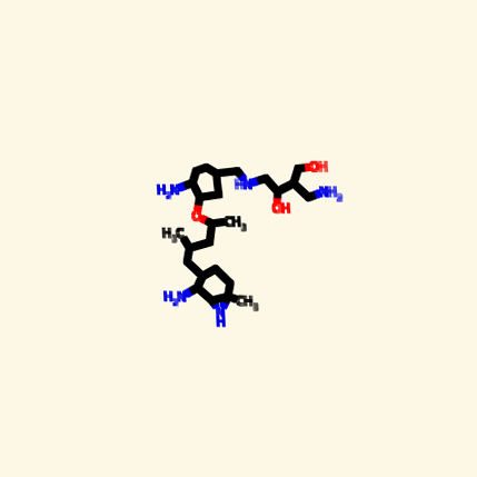 CC(CC(C)OC1CC(CNCC(O)C(CN)CO)CCC1N)CC1CCC2(C)NC2C1N